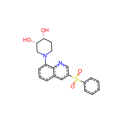 O=S(=O)(c1ccccc1)c1cnc2c(N3CC[C@@H](O)[C@@H](O)C3)cccc2c1